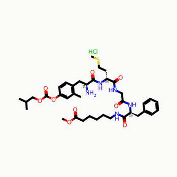 COC(=O)CCCCCNC(=O)[C@H](Cc1ccccc1)NC(=O)CNC(=O)[C@@H](CCSC)NC(=O)[C@@H](N)Cc1ccc(OC(=O)OCC(C)C)cc1C.Cl